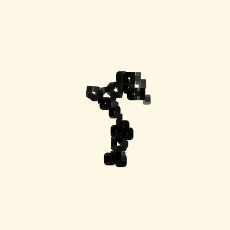 COc1cc2c(cc1OC)C(COCCOS(=O)(=O)c1ccc([N+](=O)[O-])cc1)OCC1(CCCC1)C2